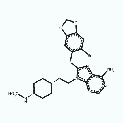 Nc1ncnc2c1nc(Sc1cc3c(cc1Br)OCO3)n2CC[C@H]1CC[C@@H](NC(=O)O)CC1